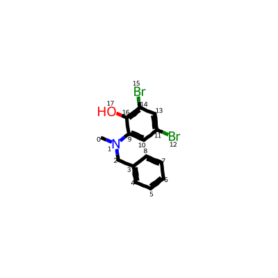 CN(Cc1ccccc1)c1cc(Br)cc(Br)c1O